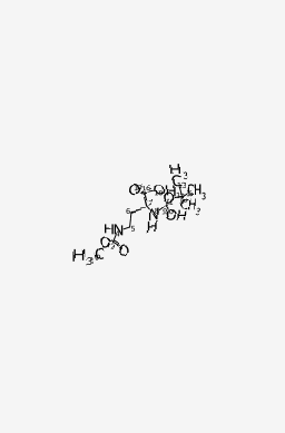 COC(=O)NCC[C@H](NC(O)OC(C)(C)C)C(=O)O